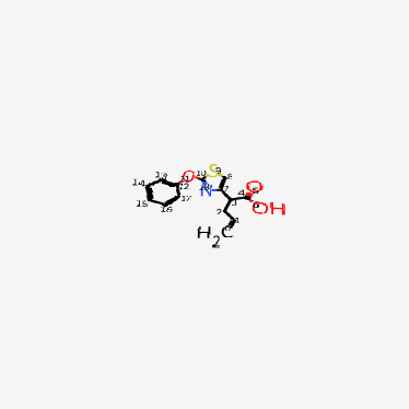 C=CCC(C(=O)O)c1csc(Oc2ccccc2)n1